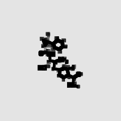 CNC(=O)c1ccc(CC(N)CNC(=O)[C@@H]2C[C@@]2(C)c2ccccc2)cc1F.Cl